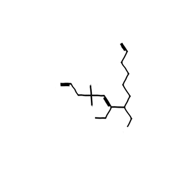 C=CCCCCC(CC)C(=CC(C)(C)CC=C)CC